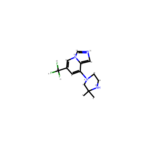 CC1(C)CN(c2cc(C(F)(F)F)cn3cncc23)CCN1